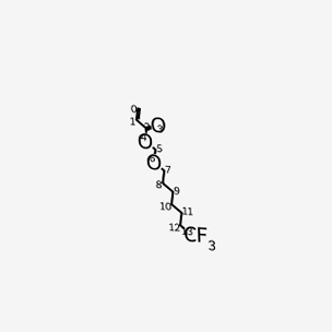 C=CC(=O)OCOCCCCCCC(F)(F)F